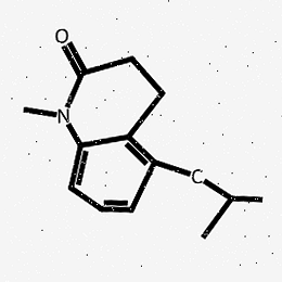 CC(C)Cc1cccc2c1CCC(=O)N2C